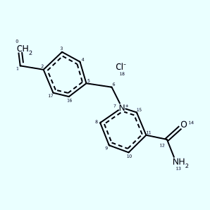 C=Cc1ccc(C[n+]2cccc(C(N)=O)c2)cc1.[Cl-]